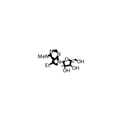 CCc1cn([C@@H]2O[C@H](CO)[C@@H](O)[C@H]2O)c2ncnc(NC)c12